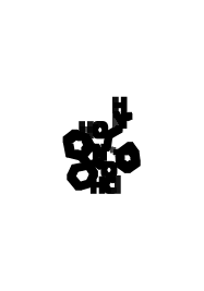 CNC[C@@H](O)[C@H](c1ccccc1)N1C(=O)C2(CCCCC2)c2ccccc21.Cl